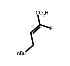 CCCCC/C=C(\F)C(=O)O